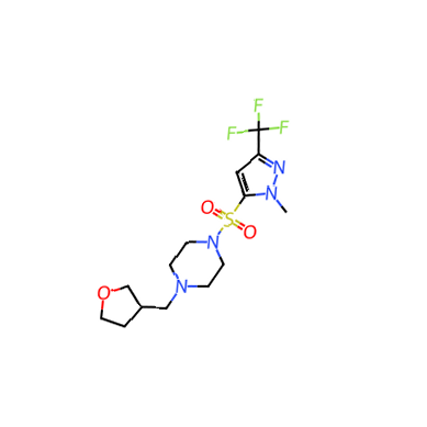 Cn1nc(C(F)(F)F)cc1S(=O)(=O)N1CCN(CC2CCOC2)CC1